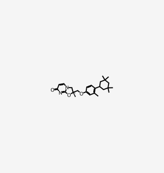 Cc1cc(OC[C@@]2(C)Cn3ccc(=O)nc3O2)ccc1C1CC(C)(C)CC(C)(C)C1